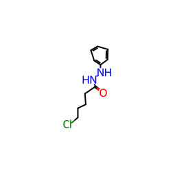 O=C(CCCCCl)NNc1ccccc1